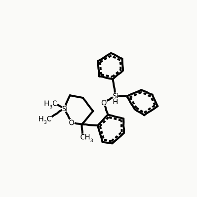 CC1(c2ccccc2O[SiH](c2ccccc2)c2ccccc2)CCC[Si](C)(C)O1